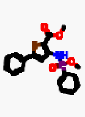 COC(=O)c1sc(-c2ccccc2)cc1NP(=O)(OC)c1ccccc1